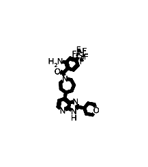 Nc1cc(S(F)(F)(F)(F)F)ccc1C(=O)N1CCCC(c2ccnc3[nH]c(C4CCOCC4)nc23)CC1